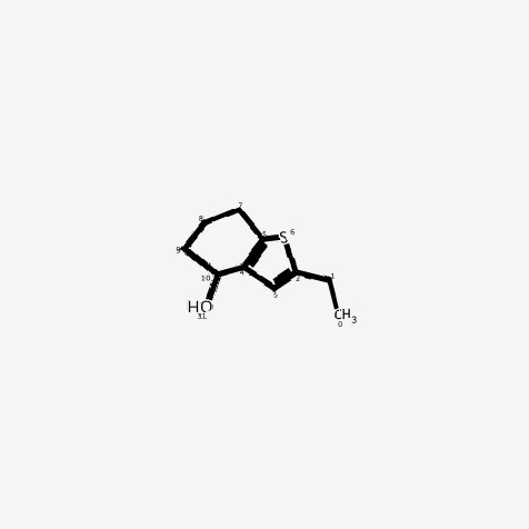 CCc1cc2c(s1)CCCC2O